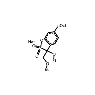 CCCCCCCCc1ccc(C(COCC)(OCC)S(=O)(=O)[O-])cc1.[Na+]